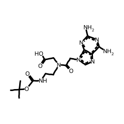 CC(C)(C)OC(=O)NCCN(CC(=O)O)C(=O)Cn1cnc2c(N)nc(N)nc21